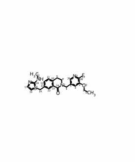 CCOc1cc(CN2CCc3ccc(Cn4ccnc4NC)cc3C2=O)cnc1F